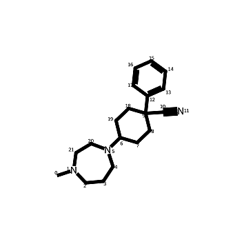 CN1CCCN(C2CCC(C#N)(c3ccccc3)CC2)CC1